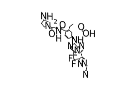 CCc1cc(Nc2nccn3c(-c4cn(CC#N)nc4C(F)(F)F)cnc23)ccc1C(=O)NCC(=O)N1CC[C@@H](N)C1.O=CO